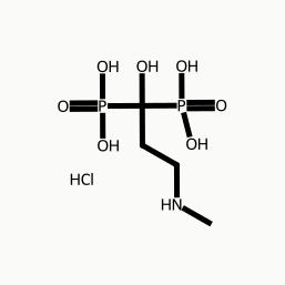 CNCCC(O)(P(=O)(O)O)P(=O)(O)O.Cl